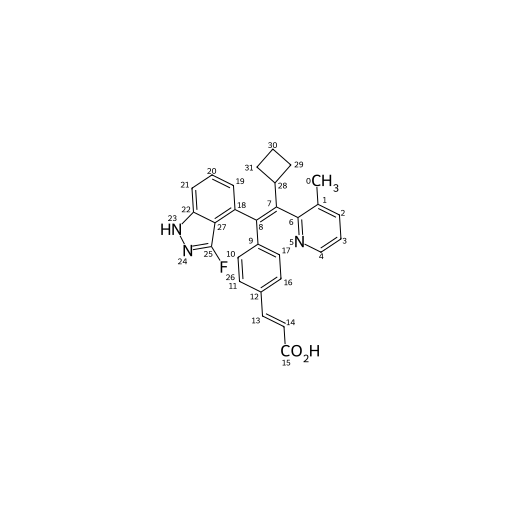 Cc1cccnc1/C(=C(\c1ccc(/C=C/C(=O)O)cc1)c1cccc2[nH]nc(F)c12)C1CCC1